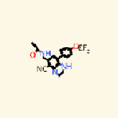 C=CC(=O)NCc1cc(-c2ccc(OC(F)(F)F)cc2)c2c(c1C#N)N=CCN2